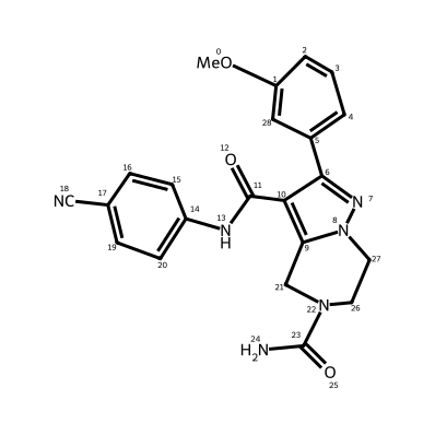 COc1cccc(-c2nn3c(c2C(=O)Nc2ccc(C#N)cc2)CN(C(N)=O)CC3)c1